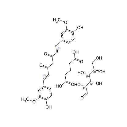 COc1cc(/C=C/C(=O)CC(=O)/C=C/c2ccc(O)c(OC)c2)ccc1O.O=C(O)CCCC(=O)O.O=C[C@H](O)[C@@H](O)[C@H](O)[C@H](O)CO